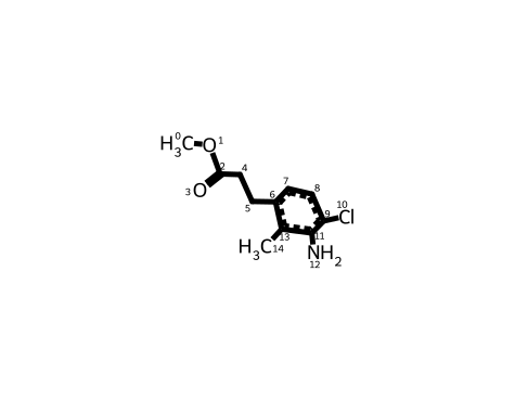 COC(=O)CCc1ccc(Cl)c(N)c1C